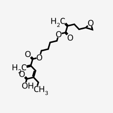 C=C(C=C(CC)C(=O)O)C(=O)OCCCCOC(=O)C(=C)CCC1CO1